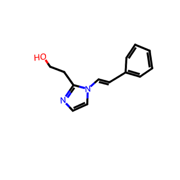 OCCc1nccn1C=Cc1ccccc1